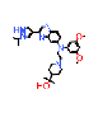 COc1cc(OC)cc(N(CCN2CCC(C(C)(C)O)CC2)c2ccc3ncc(C4=CN(C(C)C)NC4)nc3c2)c1